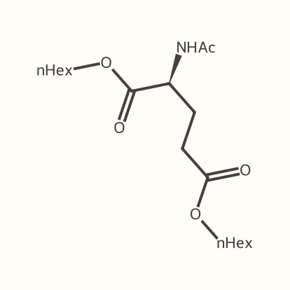 CCCCCCOC(=O)CC[C@H](NC(C)=O)C(=O)OCCCCCC